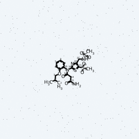 CC(C)COc1ccccc1N(C(=O)CC(N)=O)c1nc(CNS(C)(=O)=O)c(S(C)(=O)=O)s1